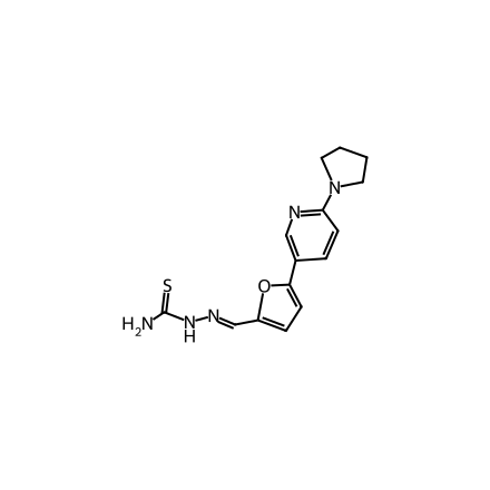 NC(=S)NN=Cc1ccc(-c2ccc(N3CCCC3)nc2)o1